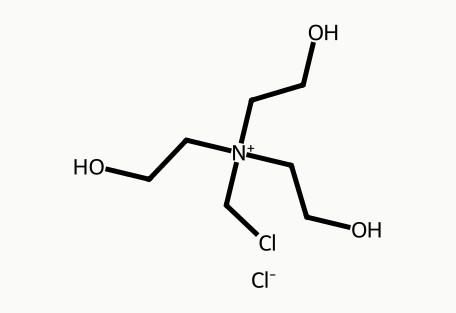 OCC[N+](CCl)(CCO)CCO.[Cl-]